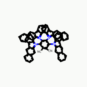 N#Cc1c(C#N)c(-n2c3ccccc3c3cc4ccccc4cc32)c(-n2c3ccccc3c3cc4ccccc4cc32)c(-n2c3ccccc3c3cc4ccccc4cc32)c1-n1c2ccccc2c2cc3ccccc3cc21